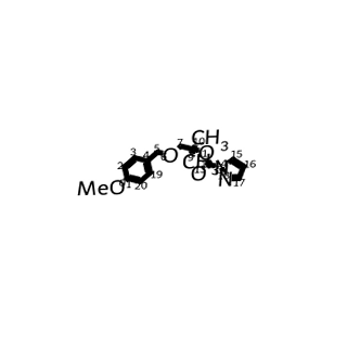 COc1ccc(COCC(C)(C)OC(=O)n2c[c]cn2)cc1